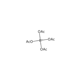 CC(=O)O[B-](OC(C)=O)(OC(C)=O)OC(C)=O